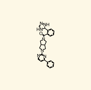 O=C(c1ccccc1C1NC=NN1)N1CC2CN(c3nccc(-c4ccccc4)n3)CC2C1